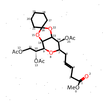 COC(=O)C/C=C/CC1O[C@@H]([C@@H](COC(C)=O)OC(C)=O)C2OC3(CCCCC3)OC2[C@H]1OC(C)=O